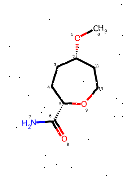 CO[C@H]1C[CH][C@@H](C(N)=O)OCC1